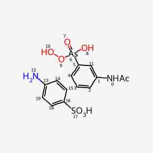 CC(=O)Nc1cccc([As](=O)(O)OO)c1.Nc1ccc(S(=O)(=O)O)cc1